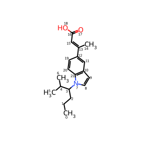 CCCC(C(C)C)n1ccc2cc(/C(C)=C/C(=O)O)ccc21